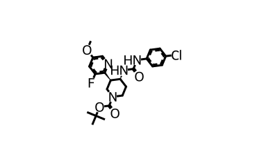 COc1cnc([C@@H]2CN(C(=O)OC(C)(C)C)CC[C@H]2NC(=O)Nc2ccc(Cl)cc2)c(F)c1